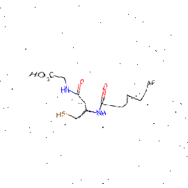 CC(=O)CCCC(=O)NC(CS)C(=O)NCC(=O)O